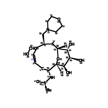 CC(C)(C)[S@@+]([O-])N[C@@H]1C/C=C\C[C@@H](CN2CCOCC2)S[C@H]2O[C@H]1[C@H](O)[C@H](O)[C@H]2O.O=CO